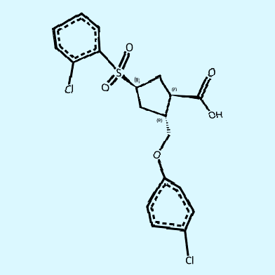 O=C(O)[C@@H]1C[C@H](S(=O)(=O)c2ccccc2Cl)C[C@H]1COc1ccc(Cl)cc1